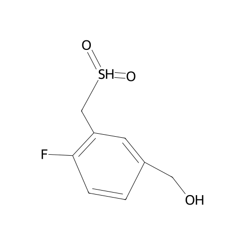 O=[SH](=O)Cc1cc(CO)ccc1F